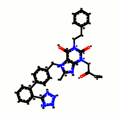 COC(=O)Cn1c(=O)n(CCc2ccccc2)c(=O)c2c1nc(C)n2Cc1ccc(-c2ccccc2-c2nnn[nH]2)cc1